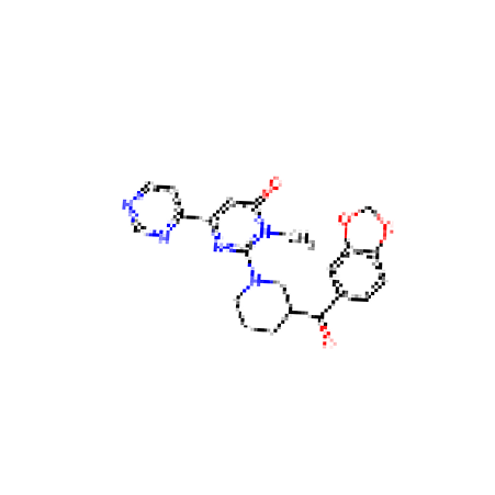 Cn1c(N2CCCC(C(=O)c3ccc4c(c3)OCO4)C2)nc(-c2ccncn2)cc1=O